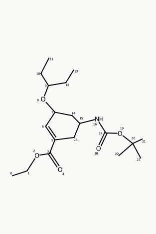 CCOC(=O)C1=CC(OC(CC)CC)CC(NC(=O)OC(C)(C)C)C1